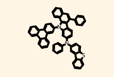 c1ccc(-c2cc3ccccc3c3c2c2ccc(N(c4ccccc4)c4ccc5sc6ccccc6c5c4)cc2n3-c2ccc3c4ccccc4c4ccccc4c3c2)cc1